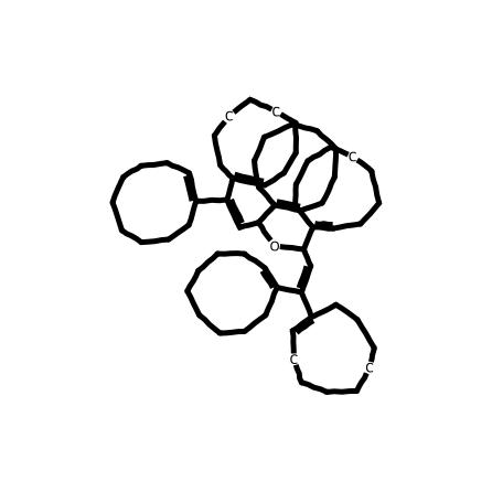 C1=C(C(=CC(OC(C=C(C2=CCCCCCCCC2)C2=CCCCCCCCC2)C2=CCCCCCCCC2)C2=CCCCCCCCC2)C2=CCCCCCCCC2)CCCCCCCC1